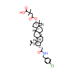 C=C(C)[C@@H]1C[C@@H](CC(=O)NCc2ccc(Cl)cc2)C2CC[C@]3(C)[C@H](CC[C@@H]4[C@@]5(C)CC[C@H](OC(=O)CC(C)(C)C(=O)O)C(C)(C)[C@@H]5CC[C@]43C)[C@H]21